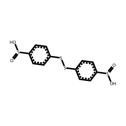 O=S(O)c1ccc(SSc2ccc(S(=O)O)cc2)cc1